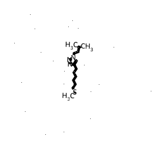 CSCCCCCCc1cn(CCC(C)C)nn1